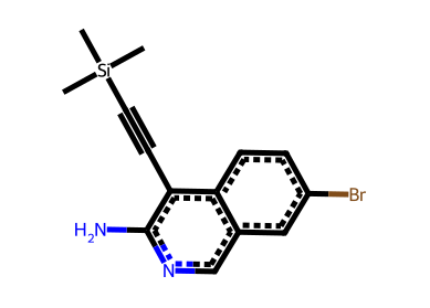 C[Si](C)(C)C#Cc1c(N)ncc2cc(Br)ccc12